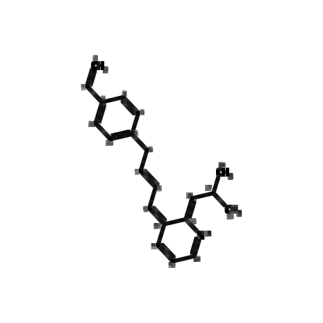 C=Cc1ccc(CC=C/C=c2/cccn/c2=C\C(C)C)cc1